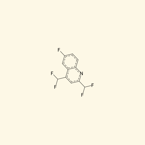 Fc1ccc2nc(C(F)F)cc(C(F)F)c2c1